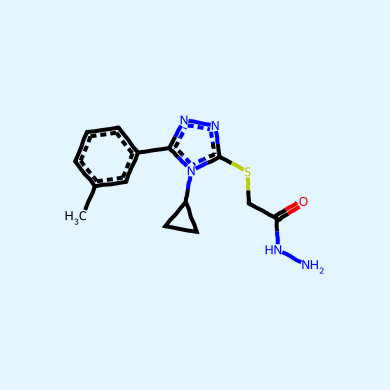 Cc1cccc(-c2nnc(SCC(=O)NN)n2C2CC2)c1